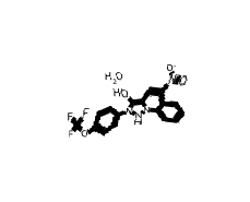 O.O=[N+]([O-])C1=CC2=C(O)N(c3ccc(OC(F)(F)F)cc3)NN2c2ccccc21